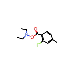 CCN(CC)OC(=O)c1ccc(C)cc1F